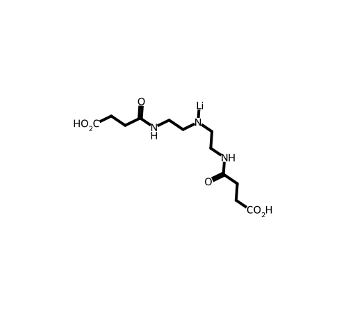 [Li][N](CCNC(=O)CCC(=O)O)CCNC(=O)CCC(=O)O